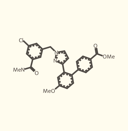 CNC(=O)c1cc(Cl)cc(Cn2ccc(-c3cc(OC)ccc3-c3ccc(C(=O)OC)cc3)n2)c1